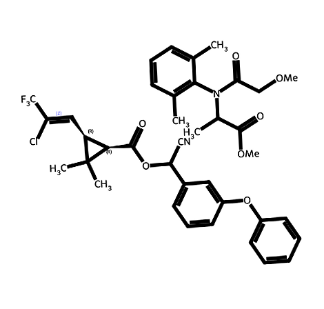 CC1(C)[C@H](C(=O)OC(C#N)c2cccc(Oc3ccccc3)c2)[C@@H]1/C=C(\Cl)C(F)(F)F.COCC(=O)N(c1c(C)cccc1C)C(C)C(=O)OC